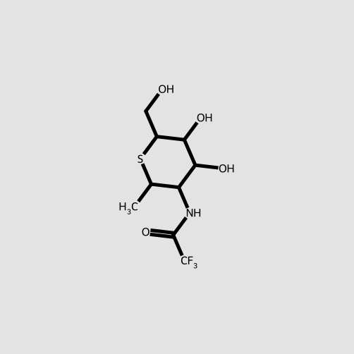 CC1SC(CO)C(O)C(O)C1NC(=O)C(F)(F)F